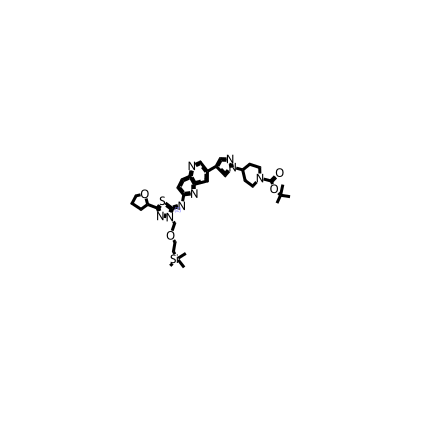 CC(C)(C)OC(=O)N1CCC(n2cc(-c3cnc4ccc(/N=c5\sc(C6CCCO6)nn5COCC[Si](C)(C)C)nc4c3)cn2)CC1